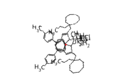 CCCC1(CC2=Cc3c(-c4ccc(C)cc4)cccc3[CH]2[Zr]([CH3])([CH3])(=[SiH2])[CH]2C(CC3(CCC)CCCCCCC3)=Cc3c(-c4ccc(C)cc4)cccc32)CCCCCCC1.Cl.Cl